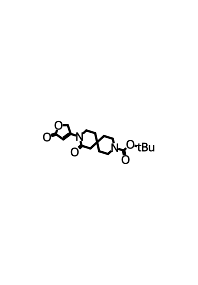 CC(C)(C)OC(=O)N1CCC2(CC1)CCN(C1=CC(=O)OC1)C(=O)C2